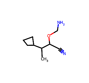 CC(C1CCC1)C(C#N)OCN